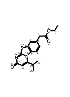 CCOC(=O)Cc1ccc2c(c1)sc1nc(=O)cc(C(C)C)n12